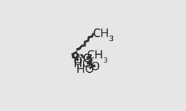 CCCCCCCCC=C[C@H]1C=CC(=O)[C@@H]1CC=C=C(C)CC(O)C(=O)O